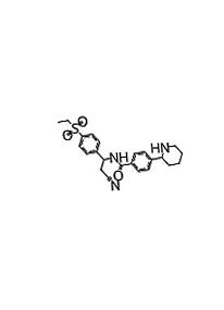 CCS(=O)(=O)c1ccc(C(CC#N)NC(=O)c2ccc(C3CCCCN3)cc2)cc1